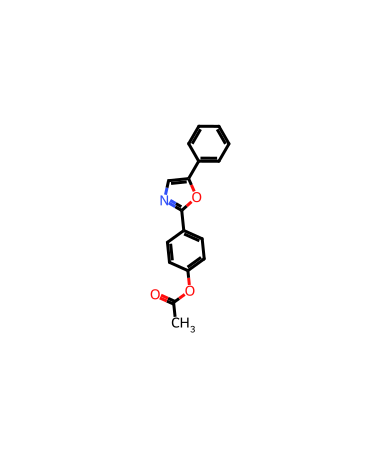 CC(=O)Oc1ccc(-c2ncc(-c3ccccc3)o2)cc1